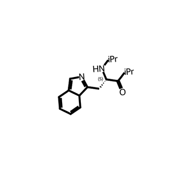 CC(C)N[C@@H](CC1=NC=C2C=CC=CC21)C(=O)C(C)C